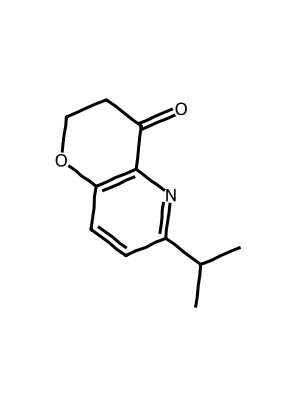 CC(C)c1ccc2c(n1)C(=O)CCO2